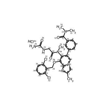 Cc1cn2cc(-c3cccc(C(=O)N(C)C)c3)c(N(C)C(=O)CNC(N)=O)c(OCc3c(Cl)cccc3Cl)c2n1.Cl